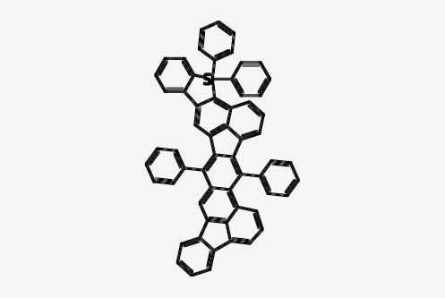 c1ccc(-c2c3cc4c5ccccc5c5cccc(c3c(-c3ccccc3)c3c6cccc7c8c(cc(c23)c76)-c2ccccc2[Si]8(c2ccccc2)c2ccccc2)c54)cc1